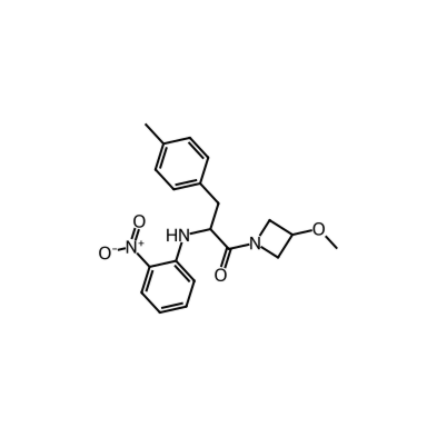 COC1CN(C(=O)C(Cc2ccc(C)cc2)Nc2ccccc2[N+](=O)[O-])C1